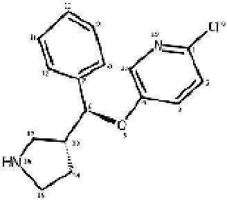 Clc1ccc(O[C@H](c2ccccc2)[C@@H]2CCNC2)cn1